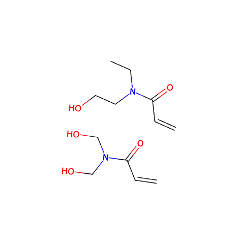 C=CC(=O)N(CC)CCO.C=CC(=O)N(CO)CO